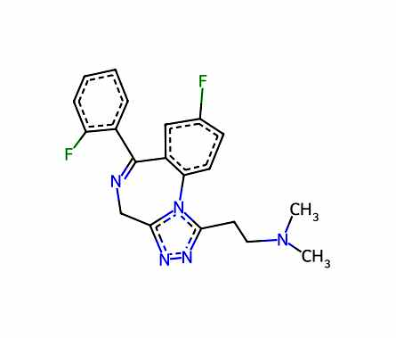 CN(C)CCc1nnc2n1-c1ccc(F)cc1C(c1ccccc1F)=NC2